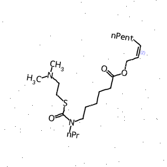 CCCCC/C=C\COC(=O)CCCCCN(CCC)C(=O)SCCN(C)C